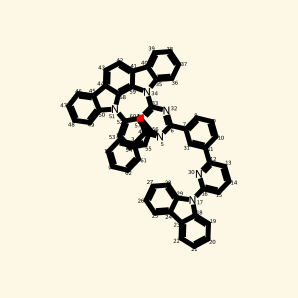 c1ccc(-c2nc(-c3cccc(-c4cccc(-n5c6ccccc6c6ccccc65)n4)c3)nc(-n3c4ccccc4c4ccc5c6ccccc6n(-c6ccccc6)c5c43)n2)cc1